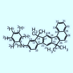 [2H]c1c([2H])c([2H])c(Nc2ccc3c(c2)C(C)(C)c2cc4c(cc2-3)C(C)(C)c2ccc3ccccc3c2-4)c([2H])c1[2H]